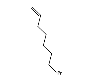 C=CCCCCCC(C)C